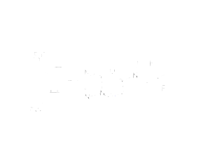 CN(CC(C)(F)F)C(=O)/C=C\n1cnc(-c2cc(C(F)(F)F)cc(C(F)(F)F)c2)n1